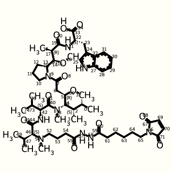 CC[C@H](C)[C@@H]([C@@H](CC(=O)N1CCC[C@H]1[C@H](OC)[C@@H](C)C(=O)N[C@@H](Cc1c[nH]c2ccccc12)C(=O)O)OC)N(C)C(=O)[C@@H](NC(=O)[C@H](C(C)C)N(C)CCCC(=O)NNC(=O)CCCCCN1C(=O)C=CC1=O)C(C)C